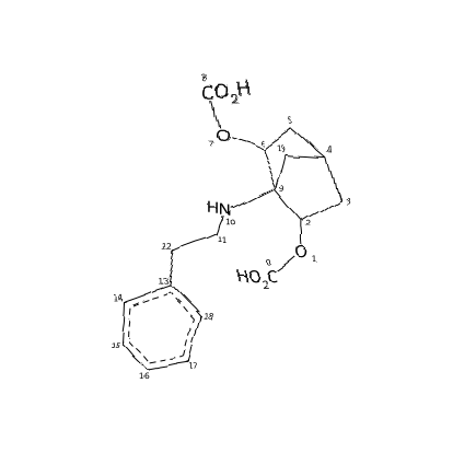 O=C(O)OC1CC2CC(OC(=O)O)C1(NCCc1ccccc1)C2